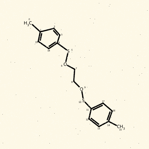 Cc1ccc(SOCCOSc2ccc(C)cc2)cc1